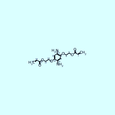 C=CC(=O)OCCOc1cc(N)c(OCCOC(=O)C=C)cc1N